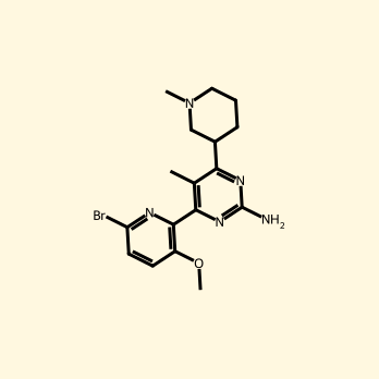 COc1ccc(Br)nc1-c1nc(N)nc(C2CCCN(C)C2)c1C